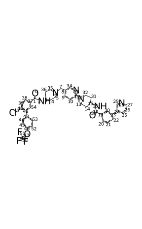 O=C(NC1CCN(Cc2ccc(N3CCC(NC(=O)c4cccc(-c5cccnc5)c4)CC3)nc2)CC1)c1ccc(Cl)c(-c2ccc(OC(F)(F)F)cc2)c1